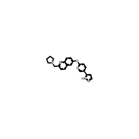 c1cc(-c2ccc(Oc3ccc4nc(CN5CCCC5)ccc4c3)nc2)[nH]n1